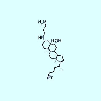 CC(C)CCC[C@@H](C)C1CCC2C3C[C@@H](O)[C@H]4C[C@@H](NCCCN)CC[C@]4(C)C3CC[C@@]21C